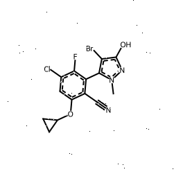 Cn1nc(O)c(Br)c1-c1c(F)c(Cl)cc(OC2CC2)c1C#N